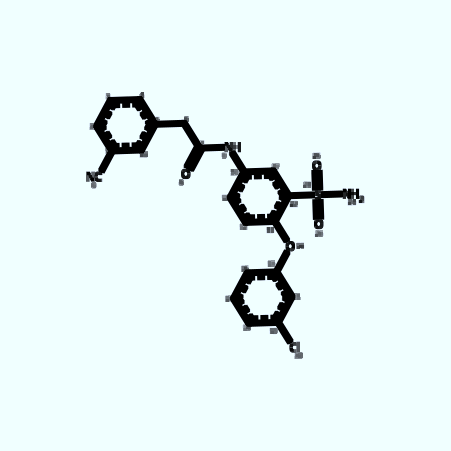 N#Cc1cccc(CC(=O)Nc2ccc(Oc3cccc(Cl)c3)c(S(N)(=O)=O)c2)c1